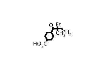 CCC(C)(CP)C(=O)C1CCC(C(=O)O)CC1